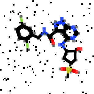 CS(=O)(=O)[C@H]1C[C@@H](O)[C@H](Nc2ncnc3[nH]nc(C(=O)NCc4cc(F)ccc4F)c23)C1